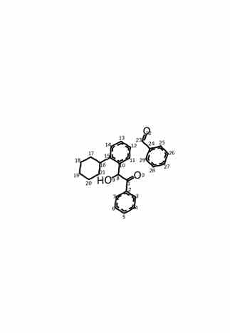 O=C(c1ccccc1)C(O)c1ccccc1C1CCCCC1.O=Cc1ccccc1